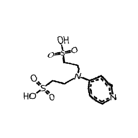 O=S(=O)(O)CCN(CCS(=O)(=O)O)c1ccncc1